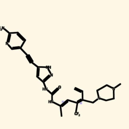 C=C/C(CN1CCN(C)CC1)=C(\C=C(/C)NC(=O)Nc1cc(C#Cc2ccc(N)nc2)[nH]n1)C(F)(F)F